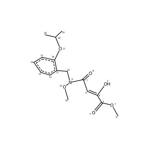 COC(=O)C(O)=CC(=O)N(Cc1ccccc1OC(C)C)OC